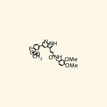 COc1ccc(CNC(=O)/C=C/c2c[nH]c3ncc(-c4ccc(F)c(S(C)(=O)=O)c4)cc23)cc1OC